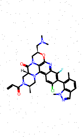 C=CC(=O)N1C[C@@H]2C(=O)N3C[C@@H](CN(C)C)Oc4nc5c(F)c(-c6c(C)ccc7cnn(C)c67)c(Cl)cc5c(c43)N2C[C@H]1C